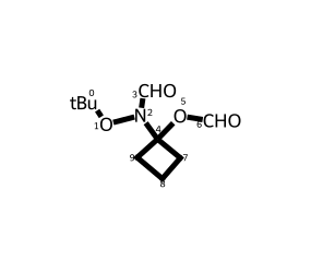 CC(C)(C)ON(C=O)C1(OC=O)CCC1